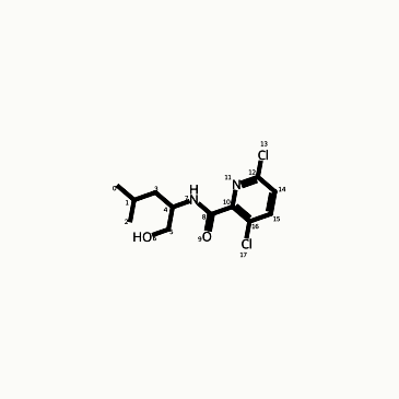 CC(C)CC(CO)NC(=O)c1nc(Cl)ccc1Cl